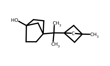 CC12CC(C(C)(C)C34CCC(O)(CC3)C4)(C1)C2